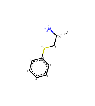 C[C@@H](N)CSc1ccccc1